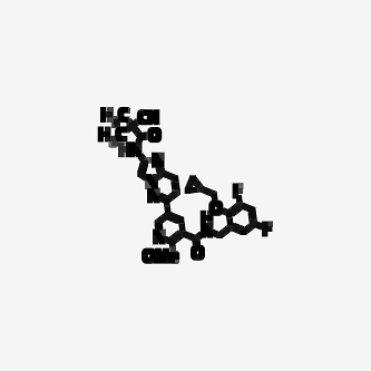 COc1ncc(-c2ccc3nc(NC(=O)C(C)(C)C#N)cn3n2)cc1C(=O)NCc1cc(F)cc(F)c1OCC1CC1